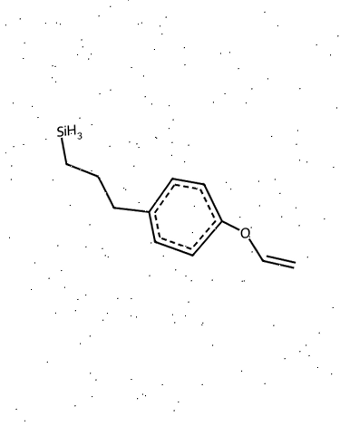 C=COc1ccc(CCC[SiH3])cc1